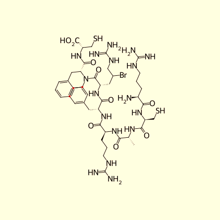 C[C@@H](NC(=O)[C@H](CS)NC(=O)[C@@H](N)CCCNC(=N)N)C(=O)N[C@@H](CCCNC(=N)N)C(=O)N[C@H](Cc1ccccc1)C(=O)N[C@@H](CC(Br)CNC(=N)N)C(=O)N1Cc2ccccc2C[C@@H]1C(=O)N[C@@H](CS)C(=O)O